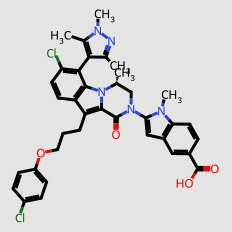 Cc1nn(C)c(C)c1-c1c(Cl)ccc2c(CCCOc3ccc(Cl)cc3)c3n(c12)[C@H](C)CN(c1cc2cc(C(=O)O)ccc2n1C)C3=O